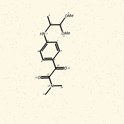 COC(OC)C(C)Nc1ccc(C(=O)C(=O)N(C)C)cc1